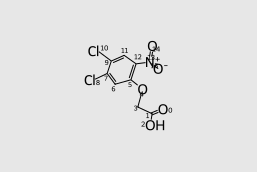 O=C(O)COc1cc(Cl)c(Cl)cc1[N+](=O)[O-]